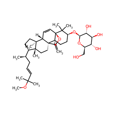 C=C1O[C@]23C=C[C@@H]4[C@@]1(CC[C@]1(C)[C@@H]([C@H](C)C/C=C/C(C)(C)OC)CC[C@@]41C)[C@@H]2CC[C@H](O[C@@H]1O[C@H](CO)[C@@H](O)[C@H](O)[C@H]1O)C3(C)C